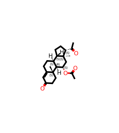 CC(=O)O[C@H]1C[C@]2(C)[C@@H](C(C)=O)CC[C@H]2[C@@H]2CCC3=CC(=O)CC[C@@]3(C)[C@@H]21